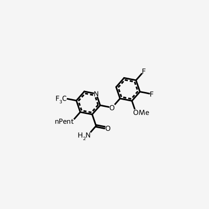 CCCCCc1c(C(F)(F)F)cnc(Oc2ccc(F)c(F)c2OC)c1C(N)=O